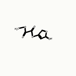 COC(=O)C(=O)OC1=CC(O)OC1